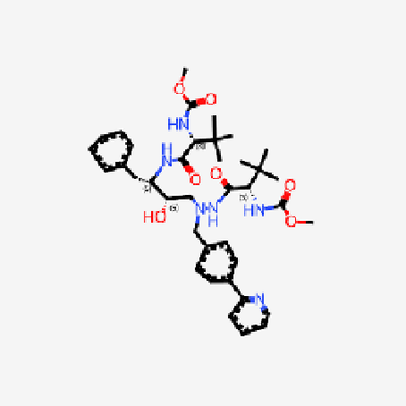 COC(=O)N[C@H](C(=O)NN(Cc1ccc(-c2ccccn2)cc1)C[C@H](O)[C@H](Cc1ccccc1)NC(=O)[C@H](NC(=O)OC)C(C)(C)C)C(C)(C)C